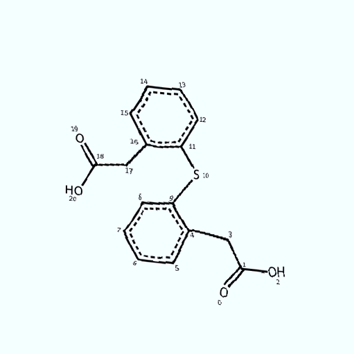 O=C(O)Cc1ccccc1Sc1ccccc1CC(=O)O